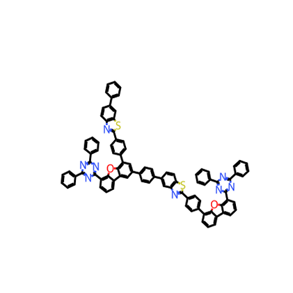 c1ccc(-c2ccc3nc(-c4ccc(-c5cc(-c6ccc(-c7ccc8sc(-c9ccc(-c%10cccc%11c%10oc%10c(-c%12nc(-c%13ccccc%13)nc(-c%13ccccc%13)n%12)cccc%10%11)cc9)nc8c7)cc6)cc6c5oc5c(-c7nc(-c8ccccc8)nc(-c8ccccc8)n7)cccc56)cc4)sc3c2)cc1